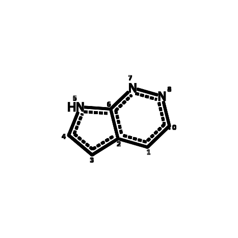 [c]1cc2cc[nH]c2nn1